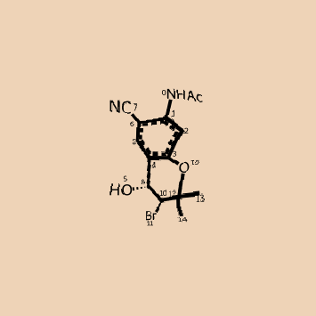 CC(=O)Nc1cc2c(cc1C#N)[C@@H](O)[C@H](Br)C(C)(C)O2